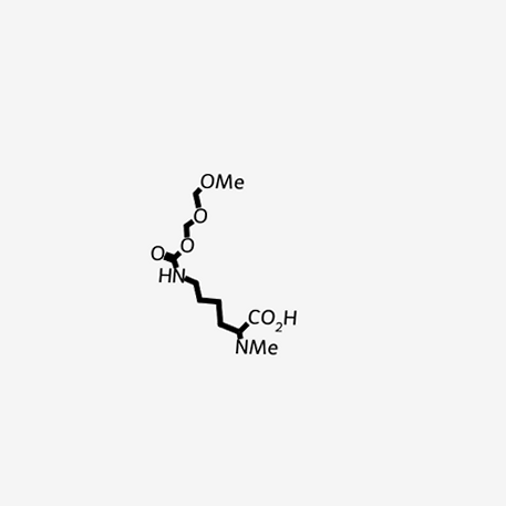 CNC(CCCCNC(=O)OCOCOC)C(=O)O